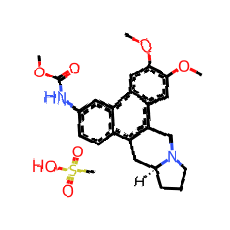 COC(=O)Nc1ccc2c3c(c4cc(OC)c(OC)cc4c2c1)CN1CCC[C@H]1C3.CS(=O)(=O)O